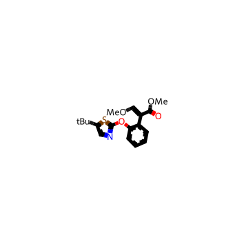 CO/C=C(/C(=O)OC)c1ccccc1Oc1ncc(C(C)(C)C)s1